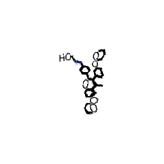 CC1=C(c2cccc(OC3CCCCO3)c2)C(c2ccc(/C=C/CO)cc2)Oc2ccc(OC3CCCCO3)cc21